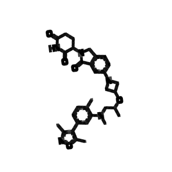 Cc1ccc(-c2c(C)noc2C)cc1N(C)CC(C)OC1CN(c2ccc3c(c2)C(=O)N(C2CCC(=O)NC2=O)C3)C1